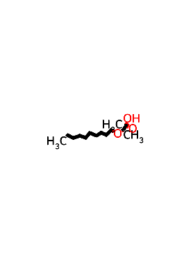 CCCCCCCCCCOC(C)(C)C(=O)O